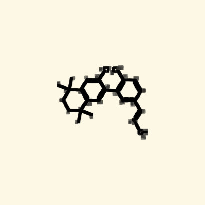 CC1(C)CCC(C)(C)c2cc(C(F)(F)F)c(-c3cc(C=NO)ccc3Cl)cc21